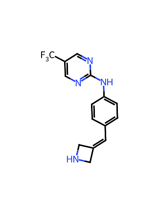 FC(F)(F)c1cnc(Nc2ccc(C=C3CNC3)cc2)nc1